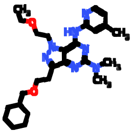 CCOCCn1nc(CCOCC2CCCCC2)c2nc(N(C)C)nc(Nc3cc(C)ccn3)c21